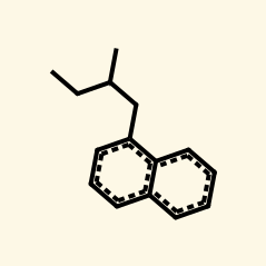 CC[C](C)Cc1cccc2ccccc12